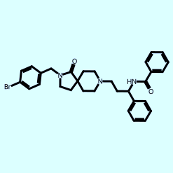 O=C(NC(CCN1CCC2(CC1)CCN(Cc1ccc(Br)cc1)C2=O)c1ccccc1)c1ccccc1